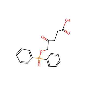 O=C(O)CCC(=O)COP(=O)(c1ccccc1)c1ccccc1